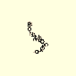 Cc1ccc(CN2CCN(C(=O)c3ccc4oc(C(=O)NC5CCN(Cc6ccc(-n7cccn7)cc6)CC5)cc4c3)CC2)cc1